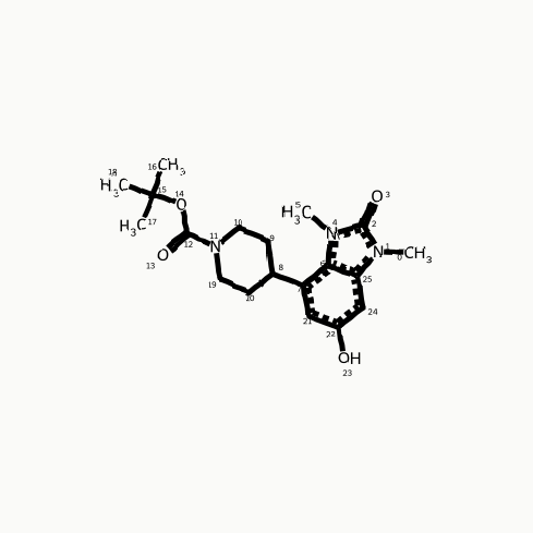 Cn1c(=O)n(C)c2c(C3CCN(C(=O)OC(C)(C)C)CC3)cc(O)cc21